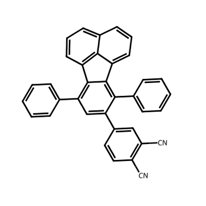 N#Cc1ccc(-c2cc(-c3ccccc3)c3c(c2-c2ccccc2)-c2cccc4cccc-3c24)cc1C#N